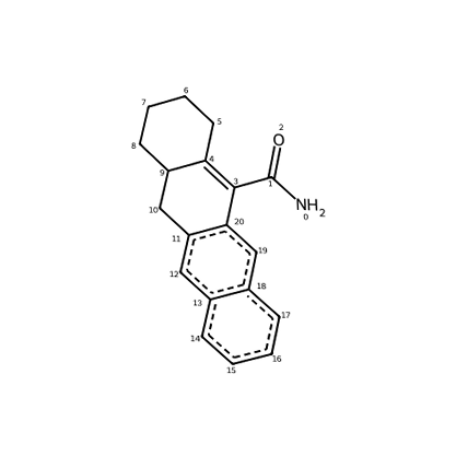 NC(=O)C1=C2CCCCC2Cc2cc3ccccc3cc21